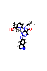 C=CCn1c(=O)c2cnc(Nc3ccc4c(c3)CCNC4)nc2n1-c1cccc(C(C)(C)O)n1